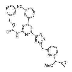 COC(c1cccc(Cn2cc(-c3cc(-c4cccc(C#N)c4)nc(NC(=O)OCc4ccccc4)n3)nn2)n1)C1CC1